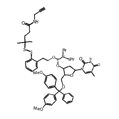 C#CCNC(=O)CCC(C)(C)SSc1ccccc1CCOP(OC1CC(n2cc(C)c(=O)[nH]c2=O)OC1COC(c1ccccc1)(c1ccc(OC)cc1)c1ccc(OC)cc1)N(C(C)C)C(C)C